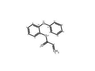 C=CC(=O)Oc1ccccc1Oc1ccccc1